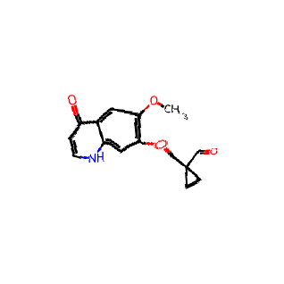 COc1cc2c(=O)cc[nH]c2cc1OCC1(C=O)CC1